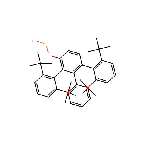 CC(C)(C)c1cccc(C(C)(C)C)c1-c1ccc(OPO)c(-c2c(C(C)(C)C)cccc2C(C)(C)C)c1-c1ccccc1